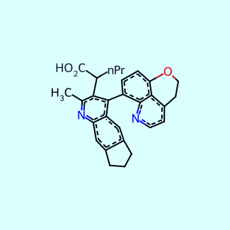 CCCC(C(=O)O)c1c(C)nc2cc3c(cc2c1-c1ccc2c4c(ccnc14)CCO2)CCC3